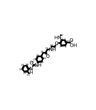 CNc1cc(C(=O)O)ccc1OCCNCC(=O)Cc1ccc(NC(=O)Nc2ccccc2C)cc1